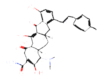 Cc1ccc(/C=C/c2ccc(O)c3c2C[C@@H]2C[C@@H]4[C@@H](N(C)C)C(O)=C(C(N)=O)C(=O)[C@@]4(O)C(O)=C2C3=O)cc1